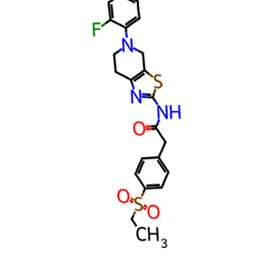 CCS(=O)(=O)c1ccc(CC(=O)Nc2nc3c(s2)CN(c2ccccc2F)CC3)cc1